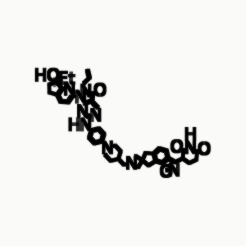 C=CCn1c(=O)c2cnc(Nc3ccc(N4CCC(CN5CC6(Cc7ccc8c(C9CCC(=O)NC9=O)noc8c7C6)C5)CC4)cc3)nc2n1-c1ccc2c(n1)[C@](O)(CC)CC2